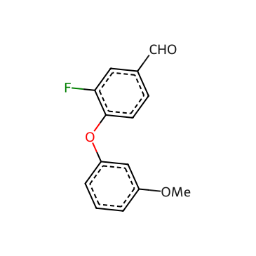 COc1cccc(Oc2ccc(C=O)cc2F)c1